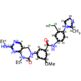 CCNc1ncc2c(n1)N(CC)C(=O)N(c1cc(OC)cc(C(=O)Nc3ccc(-n4ccnc4C)c(CF)c3)c1)C2